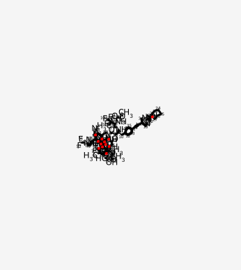 COC(=O)N[C@H](C(=O)N[C@@H](Cc1ccc(C#Cc2cnc(N3CC4CCC(C3)N4C3COC3)nc2)cc1)[C@H](CN(Cc1c(F)cc(-c2ccn(C(F)F)n2)cc1F)NC(=O)[C@@H](NC(=O)OC)C(C)(C)C(F)(F)F)OC(=O)CC(C)(C)c1c(CC(=O)NCC#N)cc(C)cc1OP(=O)(O)O)C(C)(C)C(F)(F)F